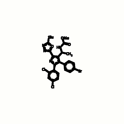 COC(=O)NC(C)c1c(-c2nnc(C(C)(C)C)o2)nn(-c2ccc(Cl)cc2Cl)c1-c1ccc(Br)cc1